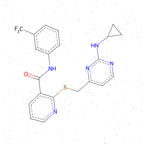 O=C(Nc1cccc(C(F)(F)F)c1)c1cccnc1SCc1ccnc(NC2CC2)n1